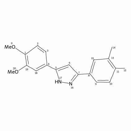 COc1ccc(-c2cc(-c3ccc(C)c(C)c3)n[nH]2)cc1OC